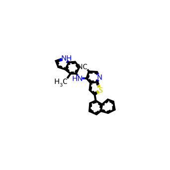 Cc1c(Nc2c(C#N)cnc3sc(-c4cccc5ccccc45)cc23)ccc2[nH]ccc12